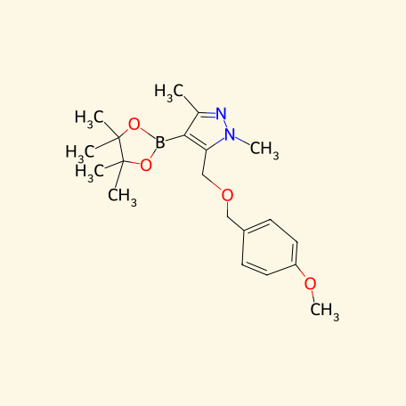 COc1ccc(COCc2c(B3OC(C)(C)C(C)(C)O3)c(C)nn2C)cc1